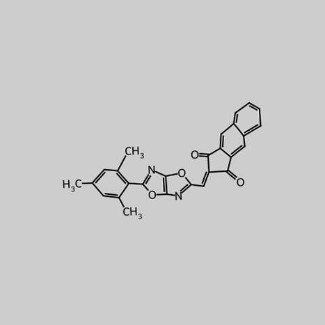 Cc1cc(C)c(-c2nc3oc(C=C4C(=O)c5cc6ccccc6cc5C4=O)nc3o2)c(C)c1